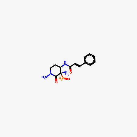 NN1CCC(NC(=O)C=Cc2ccccc2)[C@](N)([PH2]=O)C1=O